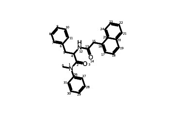 CN(C(=O)C(Cc1ccccc1)NC(=O)Cc1cccc2ccccc12)c1ccccc1